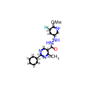 COc1ncc(NNC(=O)c2cnc(-c3ccccc3)nc2C)cc1F